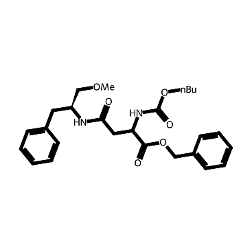 CCCCOC(=O)NC(CC(=O)N[C@H](COC)Cc1ccccc1)C(=O)OCc1ccccc1